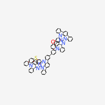 c1ccc(N2c3ccccc3-c3nc(-n4c5ccccc5c5ccc6c7cc(-c8ccc(N9c%10ccccc%10-c%10nc(-n%11c%12ccccc%12c%12ccc%13c%14ccccc%14n(-c%14ccc%15c(c%14)oc%14ccccc%14%15)c%13c%12%11)nc%11cccc9c%10%11)cc8)ccc7n(-c7ccc8c(c7)sc7ccccc78)c6c54)nc4cccc2c34)cc1